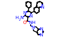 Nc1nc(-c2ccccc2)c(-c2ccc3ncccc3c2)nc1C(=O)NCN1Cc2cncnc2C1